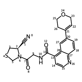 N#C[C@@H]1CSCN1C(=O)CNC(=O)c1ccnc2ccc(C3=CCOCC3)cc12